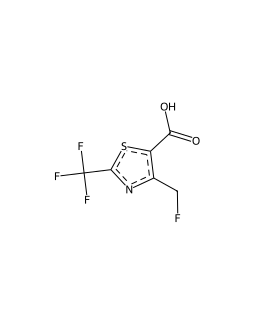 O=C(O)c1sc(C(F)(F)F)nc1CF